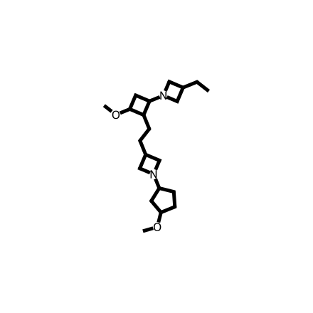 CCC1CN(C2CC(OC)C2CCC2CN(C3CCC(OC)C3)C2)C1